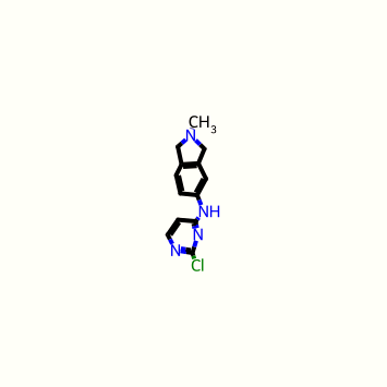 CN1Cc2ccc(Nc3ccnc(Cl)n3)cc2C1